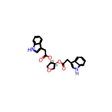 O=C(Cc1c[nH]c2ccccc12)O[C@H]1COC[C@@H]1OC(=O)Cc1c[nH]c2ccccc12